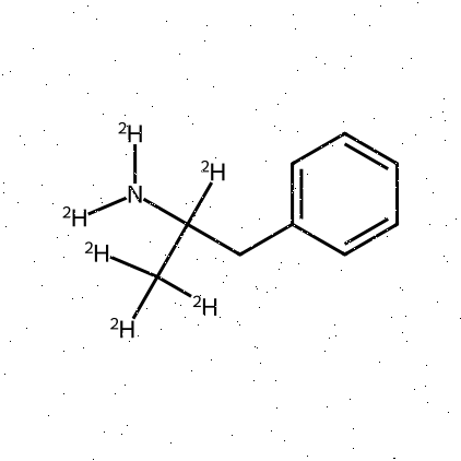 [2H]N([2H])C([2H])(Cc1ccccc1)C([2H])([2H])[2H]